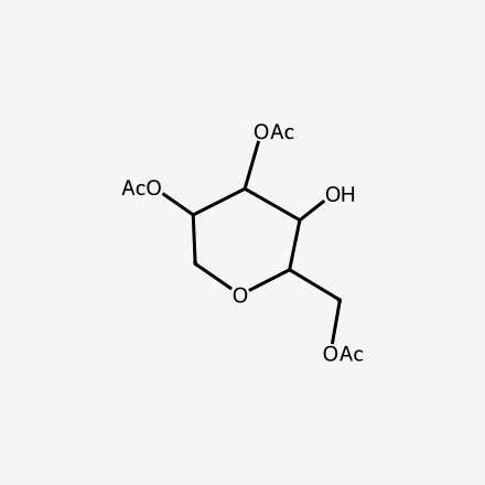 CC(=O)OCC1OCC(OC(C)=O)C(OC(C)=O)C1O